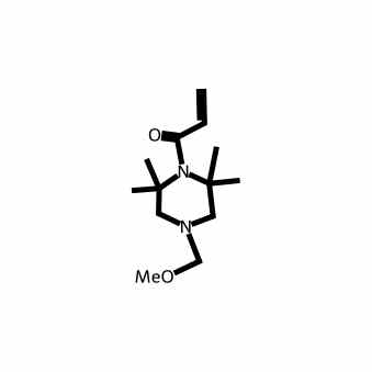 C=CC(=O)N1C(C)(C)CN(COC)CC1(C)C